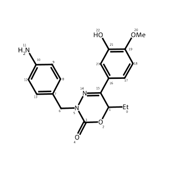 CCC1OC(=O)N(Cc2ccc(N)cc2)N=C1c1ccc(OC)c(O)c1